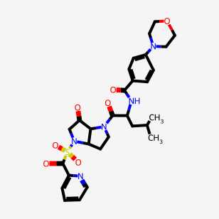 CC(C)CC(NC(=O)c1ccc(N2CCOCC2)cc1)C(=O)N1CCC2C1C(=O)CN2S(=O)(=O)C(=O)c1ccccn1